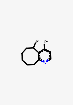 CC(C)c1ccnc2c1C(C(C)C)CCCCC2